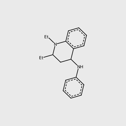 CCC1CC(Nc2ccccc2)c2ccccc2N1CC